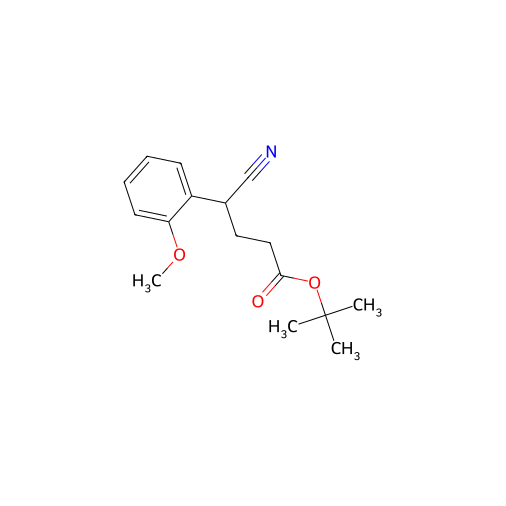 COc1ccccc1C(C#N)CCC(=O)OC(C)(C)C